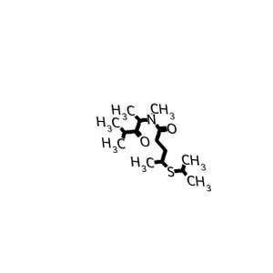 CC(C)SC(C)CCC(=O)N(C)C(C)C(=O)C(C)C